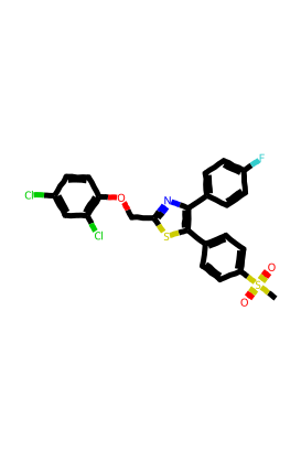 CS(=O)(=O)c1ccc(-c2sc(COc3ccc(Cl)cc3Cl)nc2-c2ccc(F)cc2)cc1